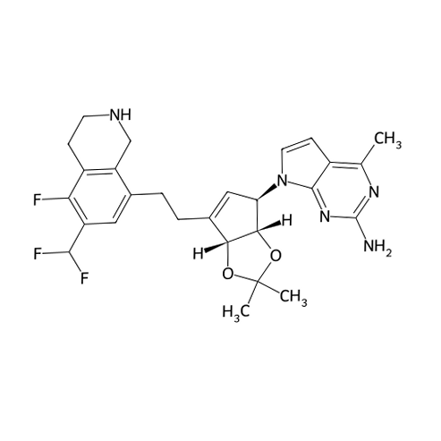 Cc1nc(N)nc2c1ccn2[C@@H]1C=C(CCc2cc(C(F)F)c(F)c3c2CNCC3)[C@H]2OC(C)(C)O[C@H]21